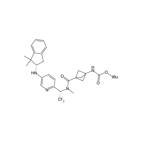 CN(C(=O)C12CC(NC(=O)OC(C)(C)C)(C1)C2)[C@@H](c1ccc(N[C@H]2Cc3ccccc3C2(C)C)cn1)C(F)(F)F